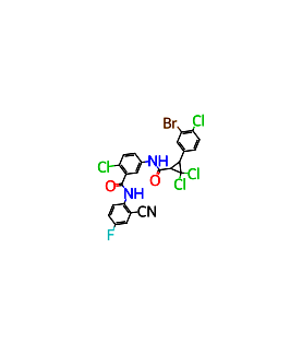 N#Cc1cc(F)ccc1NC(=O)c1cc(NC(=O)C2C(c3ccc(Cl)c(Br)c3)C2(Cl)Cl)ccc1Cl